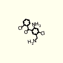 NCc1cc(C(=O)c2ccccc2Cl)c(N)cc1Cl